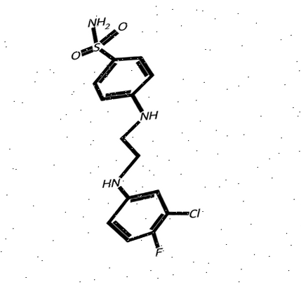 NS(=O)(=O)c1ccc(NCCNc2ccc(F)c(Cl)c2)cc1